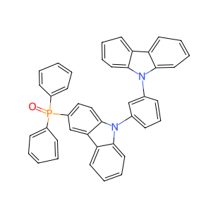 O=P(c1ccccc1)(c1ccccc1)c1ccc2c(c1)c1ccccc1n2-c1cccc(-n2c3ccccc3c3ccccc32)c1